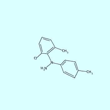 Cc1ccc(N(N)c2c(C)cccc2Cl)cc1